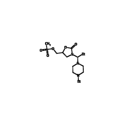 CCC(N1CCN(CC)CC1)N1CC(COS(C)(=O)=O)OC1=O